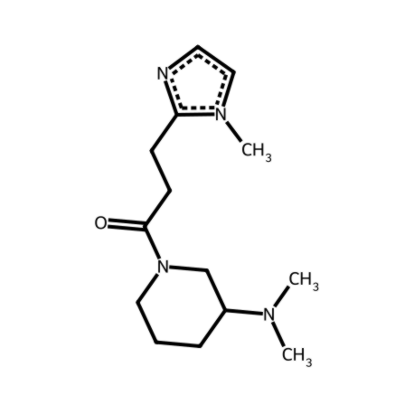 CN(C)C1CCCN(C(=O)CCc2nccn2C)C1